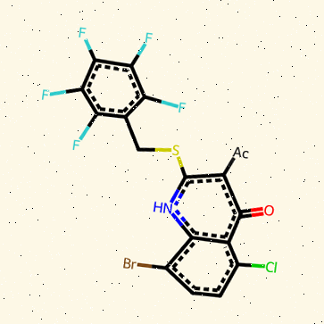 CC(=O)c1c(SCc2c(F)c(F)c(F)c(F)c2F)[nH]c2c(Br)ccc(Cl)c2c1=O